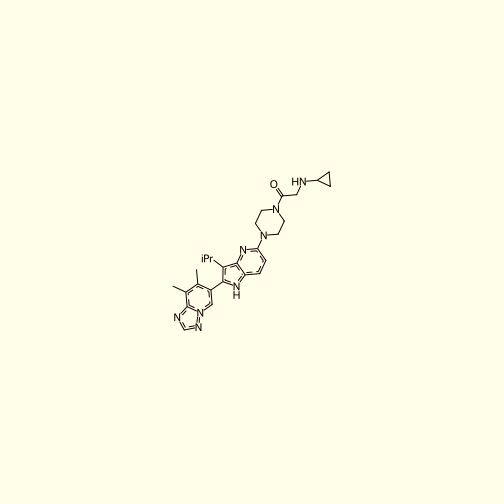 Cc1c(-c2[nH]c3ccc(N4CCN(C(=O)CNC5CC5)CC4)nc3c2C(C)C)cn2ncnc2c1C